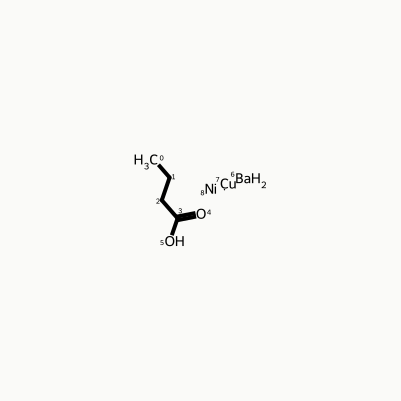 CCCC(=O)O.[BaH2].[Cu].[Ni]